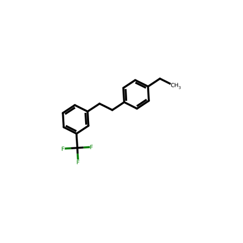 CCc1ccc(CCc2cccc(C(F)(F)F)c2)cc1